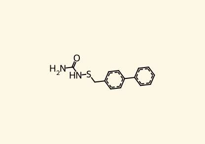 NC(=O)NSCc1ccc(-c2ccccc2)cc1